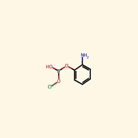 Nc1ccccc1OB(O)OCl